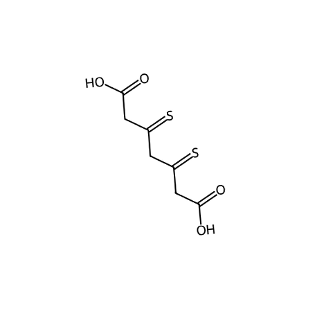 O=C(O)CC(=S)CC(=S)CC(=O)O